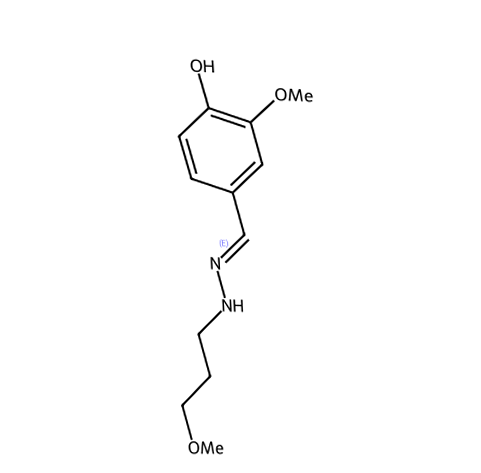 COCCCN/N=C/c1ccc(O)c(OC)c1